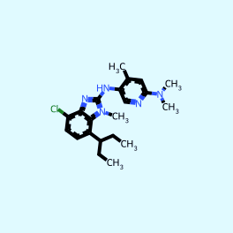 CCC(CC)c1ccc(Cl)c2nc(Nc3cnc(N(C)C)cc3C)n(C)c12